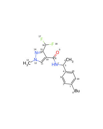 CCC(C)c1ccc(C(C)NC(=O)c2cn(C)nc2C(F)F)cc1